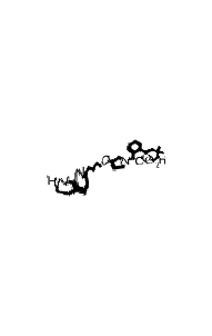 CC1(C)CCOC(c2ccccc2C(C(=O)O)N2CCC(OCCCCc3ccc4c(n3)NCCC4)C2)C1